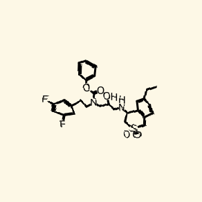 CCc1ccc2c(c1)C(NCC(O)CN(CCc1cc(F)cc(F)c1)C(=O)Oc1ccccc1)CS(=O)(=O)C2